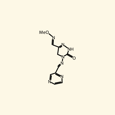 CON=CC1=NNC(=O)N(N=Cc2cnccn2)C1